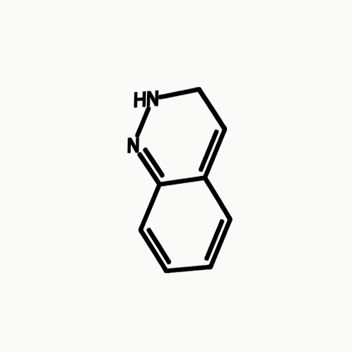 C1=c2ccccc2=NNC1